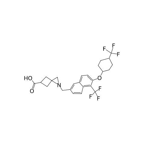 O=C(O)C1CC2(C1)CN2Cc1ccc2c(C(F)(F)F)c(OC3CCC(C(F)(F)F)CC3)ccc2c1